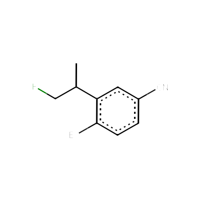 [CH2]C(CF)c1cc(C#N)ccc1CC